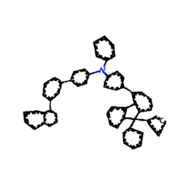 c1ccc(N(c2ccc(-c3cccc(-c4cccc5ccccc45)c3)cc2)c2ccc(-c3cccc4c3-c3ccccc3C4(c3ccccc3)c3ccccc3)cc2)cc1